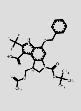 CC(=O)OC[C@@H]1CN(C(=O)OC(C)(C)C)c2cc(OCc3ccccc3)c3[nH]c(C(F)(F)F)c(C(=O)O)c3c21